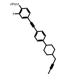 CC#CCC1CCC(c2ccc(C#Cc3ccc(CCCCC)c(F)c3)cc2)CC1